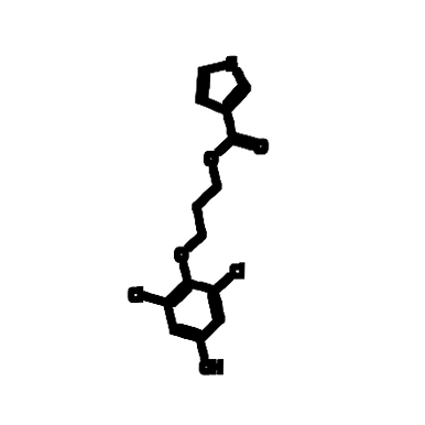 O=C(OCCCOc1c(Cl)cc(O)cc1Cl)c1ccsc1